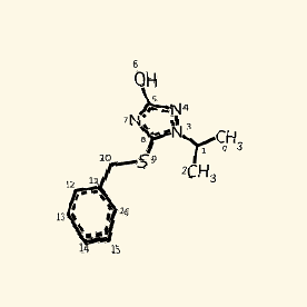 CC(C)n1nc(O)nc1SCc1ccccc1